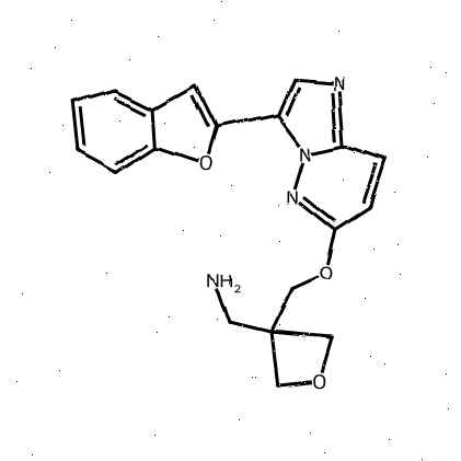 NCC1(COc2ccc3ncc(-c4cc5ccccc5o4)n3n2)COC1